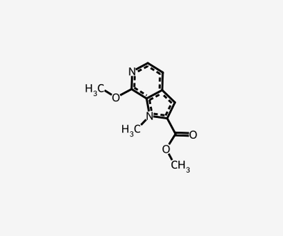 COC(=O)c1cc2ccnc(OC)c2n1C